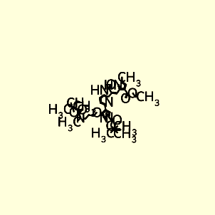 CCOC(=O)c1cc(C)[nH]c1/C=C1\C(=O)Nc2ccc(-c3cn(C(=O)OC(C)(C)C)nc3OCCCN(C)C(=O)OC(C)(C)C)nc21